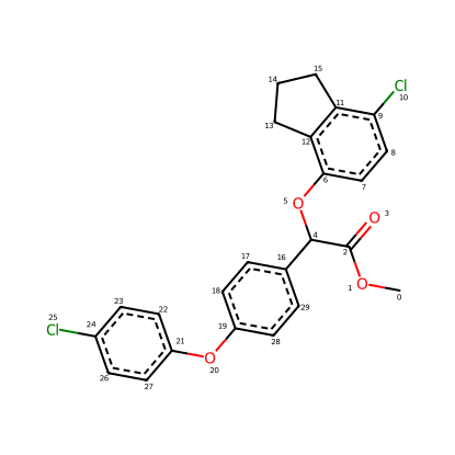 COC(=O)C(Oc1ccc(Cl)c2c1CCC2)c1ccc(Oc2ccc(Cl)cc2)cc1